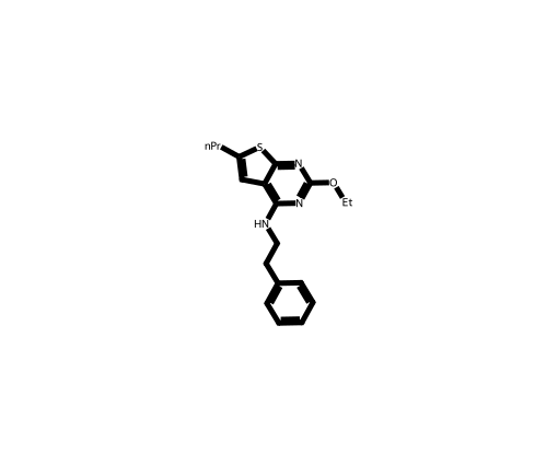 CCCc1cc2c(NCCc3ccccc3)nc(OCC)nc2s1